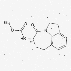 CC(C)(C)OC(=O)N[C@H]1CCc2cccc3c2N(CC3)C1=O